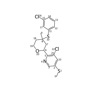 CSc1cnc(C2CC(C)(Sc3cccc(Cl)c3)CCO2)c(Cl)c1